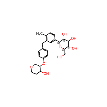 Cc1ccc([C@@H]2O[C@H](CO)[C@@H](O)C(O)[C@H]2O)cc1Cc1ccc(OC2COCCC2O)cc1